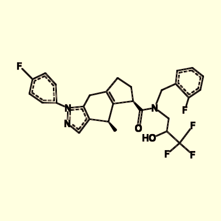 C[C@@H]1C2=C(CC[C@H]2C(=O)N(Cc2ccccc2F)CC(O)C(F)(F)F)Cc2c1cnn2-c1ccc(F)cc1